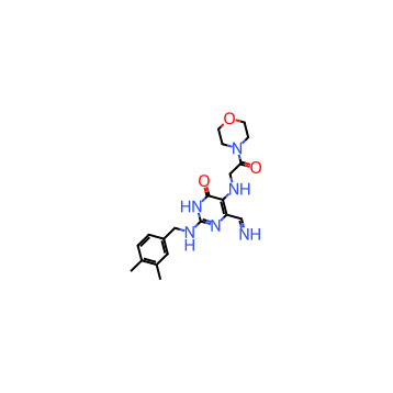 Cc1ccc(CNc2nc(C=N)c(NCC(=O)N3CCOCC3)c(=O)[nH]2)cc1C